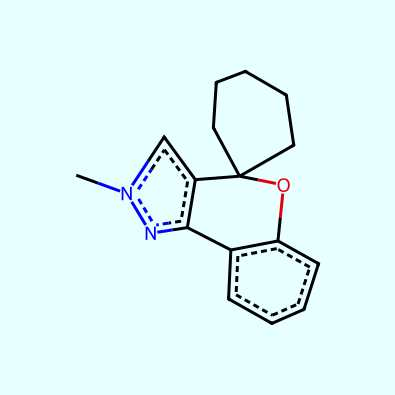 Cn1cc2c(n1)-c1ccccc1OC21CCCCC1